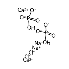 O=P([O-])([O-])O.O=P([O-])([O-])O.[Ca+2].[Ca+2].[Cl-].[Cl-].[Na+].[Na+]